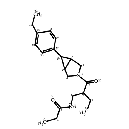 CCC(=O)NCC(CC)C(=O)N1CC2C(C1)C2c1ccc(CC)cc1